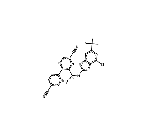 C[C@H](Nc1nc2cc(C(F)(F)F)cc(Cl)c2o1)c1nc(C#N)cnc1-c1ccc(C#N)cn1